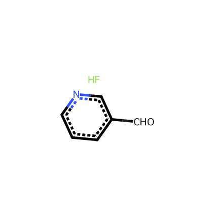 F.O=Cc1cccnc1